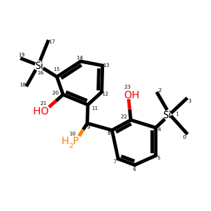 C[Si](C)(C)c1cccc(C(P)c2cccc([Si](C)(C)C)c2O)c1O